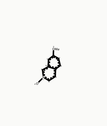 COc1ccc2cc[n+]([O-])cc2c1